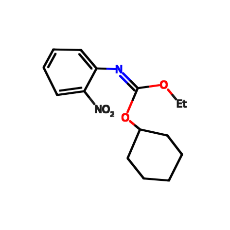 CCOC(=Nc1ccccc1[N+](=O)[O-])OC1CCCCC1